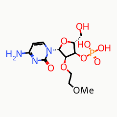 COCCO[C@@H]1[C@H](OP(=O)(O)O)[C@@H](CO)O[C@H]1n1ccc(N)nc1=O